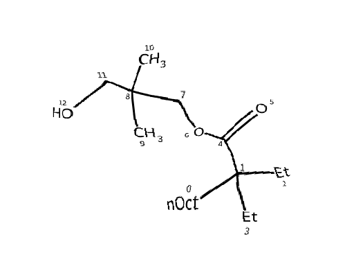 CCCCCCCCC(CC)(CC)C(=O)OCC(C)(C)CO